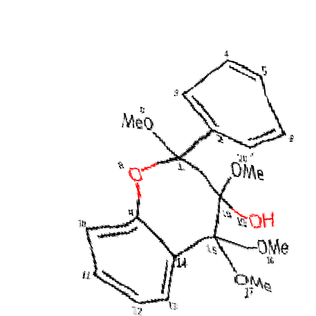 COC1(c2ccccc2)Oc2ccccc2C(OC)(OC)C1(O)OC